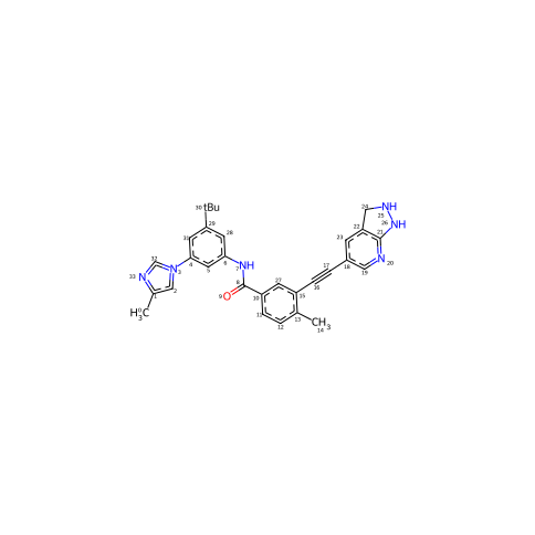 Cc1cn(-c2cc(NC(=O)c3ccc(C)c(C#Cc4cnc5c(c4)CNN5)c3)cc(C(C)(C)C)c2)cn1